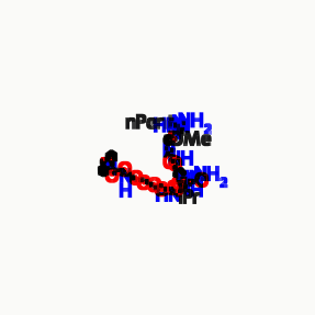 CCCCCNc1nc(N)nc2ccn(Cc3ccc(CN4CC(NC(=O)OCc5ccc(NC(=O)[C@H](CCCNC(N)=O)NC(=O)[C@@H](NC(=O)CCOCCOCCOCCOCCNC(=O)CCC(=O)N6Cc7ccccc7C#Cc7ccccc76)C(C)C)cc5)C4)cc3OC)c12